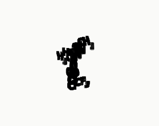 Cc1csc2c(NC(C)CN3CCN(S(=O)(=O)c4ccc(Cl)c(C(F)(F)F)c4)CC3)ncnc12